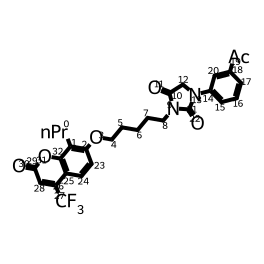 CCCc1c(OCCCCCN2C(=O)CN(c3cccc(C(C)=O)c3)C2=O)ccc2c(C(F)(F)F)cc(=O)oc12